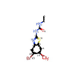 CCNC(=O)Nc1nc2cc(Br)c(O)cc2s1